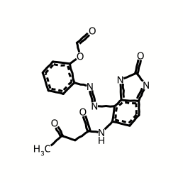 CC(=O)CC(=O)Nc1ccc2c(c1N=Nc1ccccc1OC=O)=NC(=O)N=2